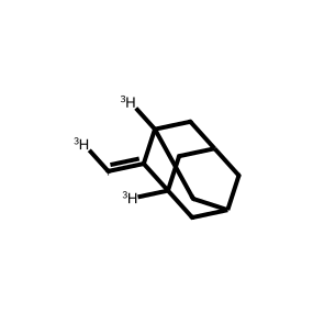 [3H][C]=C1C2([3H])CC3CC(C2)CC1([3H])C3